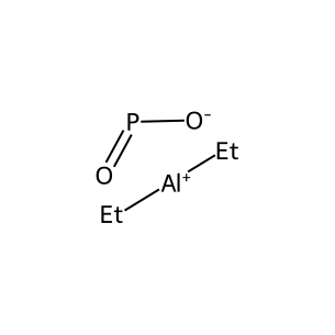 C[CH2][Al+][CH2]C.O=P[O-]